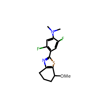 COC1CCCc2nc(-c3cc(F)c(N(C)C)cc3F)sc21